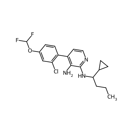 CCCC(Nc1nccc(-c2ccc(OC(F)F)cc2Cl)c1N)C1CC1